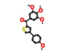 COc1ccc(-c2csc(C(=O)c3cc(OC)c(OC)c(OC)c3)c2)cc1